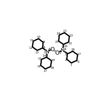 C1CCC(N(OON(C2CCCCC2)C2CCCCC2)C2CCCCC2)CC1